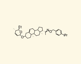 CC[C@H]1OC(OC2CC[C@@]3(C)C(=CCC4C3CC[C@@]3(C)C4CC[C@@H]3/C(C)=N/OCc3ccc(C(C)C)cc3)C2)C=C[C@@H]1C